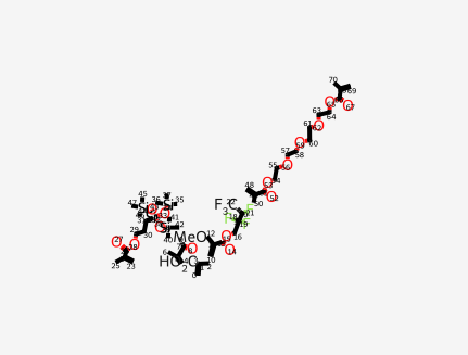 C=C(C)C(=O)O.C=C(C)C(=O)OC.C=C(C)C(=O)OCC(F)(F)C(F)C(F)(F)F.C=C(C)C(=O)OCCC[Si](O[Si](C)(C)C)(O[Si](C)(C)C)O[Si](C)(C)C.C=C(C)C(=O)OCCOCCOCCOCCOC(=O)C(=C)C